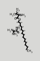 CCCCCCCCCCCCCCCCOC(=O)C(N)C(C)C.N=C=O.NC(N)=O